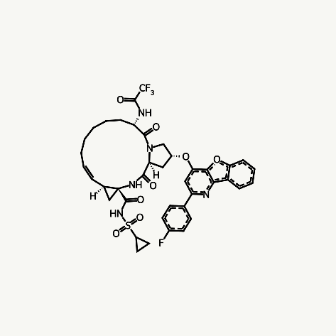 O=C1N[C@]2(C(=O)NS(=O)(=O)C3CC3)C[C@H]2/C=C\CCCCC[C@H](NC(=O)C(F)(F)F)C(=O)N2C[C@H](Oc3cc(-c4ccc(F)cc4)nc4c3oc3ccccc34)C[C@@H]12